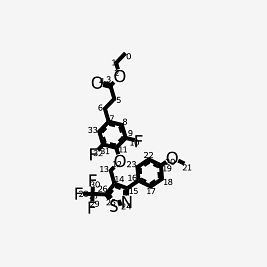 CCOC(=O)CCc1cc(F)c(OCc2c(-c3ccc(OC)cc3)nsc2C(F)(F)F)c(F)c1